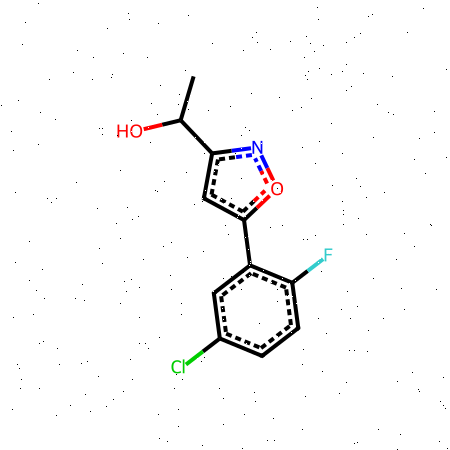 CC(O)c1cc(-c2cc(Cl)ccc2F)on1